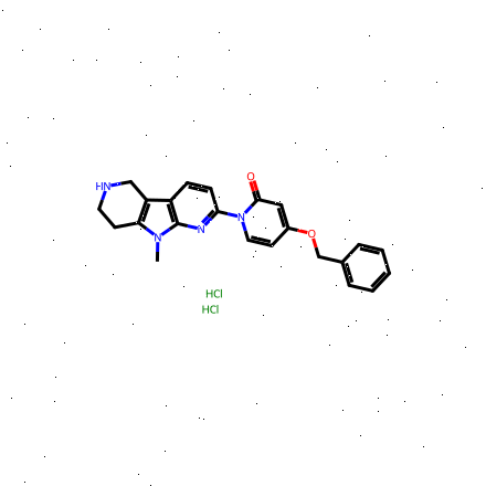 Cl.Cl.Cn1c2c(c3ccc(-n4ccc(OCc5ccccc5)cc4=O)nc31)CNCC2